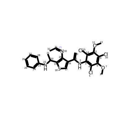 C=C(Nc1c(Cl)c(OC)c(Cl)c(OC)c1Cl)c1csc(C(C)Nc2ccccc2)c1/N=C\C